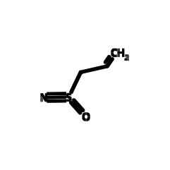 C=CCS(#N)=O